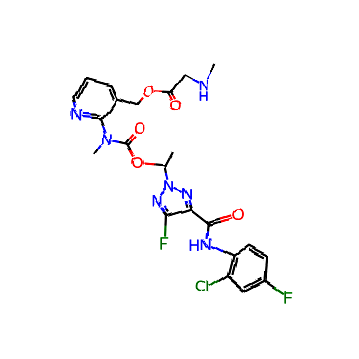 CNCC(=O)OCc1cccnc1N(C)C(=O)OC(C)n1nc(F)c(C(=O)Nc2ccc(F)cc2Cl)n1